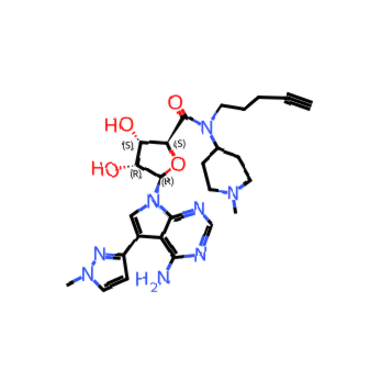 C#CCCCN(C(=O)[C@H]1O[C@@H](n2cc(-c3ccn(C)n3)c3c(N)ncnc32)[C@H](O)[C@@H]1O)C1CCN(C)CC1